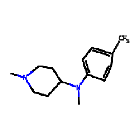 CN1CCC(N(C)c2ccc(C(F)(F)F)cc2)CC1